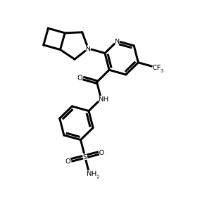 NS(=O)(=O)c1cccc(NC(=O)c2cc(C(F)(F)F)cnc2N2CC3CCC3C2)c1